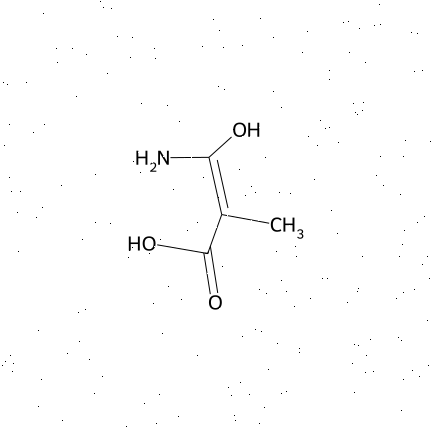 CC(C(=O)O)=C(N)O